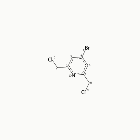 ClCc1cc(Br)cc(CCl)n1